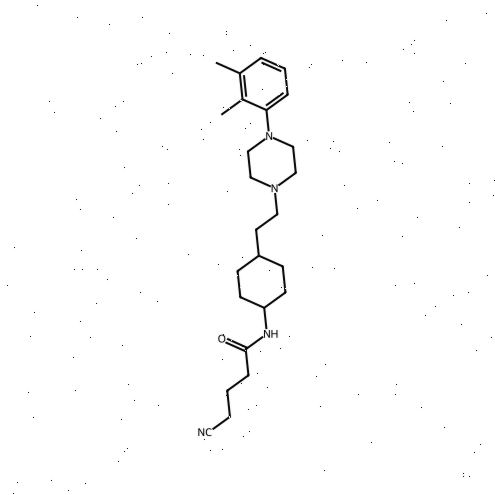 Cc1cccc(N2CCN(CCC3CCC(NC(=O)CCCC#N)CC3)CC2)c1C